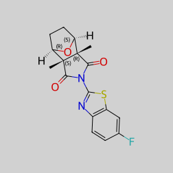 C[C@@]12C(=O)N(c3nc4ccc(F)cc4s3)C(=O)[C@]1(C)[C@H]1CC[C@@H]2O1